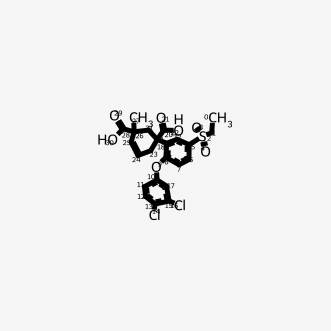 CCS(=O)(=O)c1ccc(Oc2ccc(Cl)c(Cl)c2)c(C2(C(=O)O)CC=CC(C)(C(=O)O)C2)c1